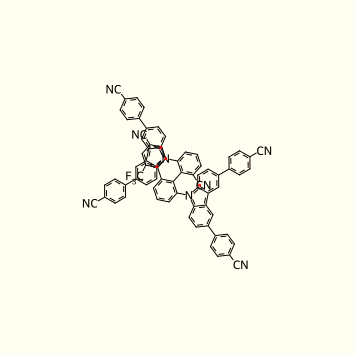 N#Cc1ccc(-c2ccc3c(c2)c2cc(-c4ccc(C#N)cc4)ccc2n3-c2cccc(C#N)c2-c2c(-c3ccc(C#N)cc3C(F)(F)F)cccc2-n2c3ccc(-c4ccc(C#N)cc4)cc3c3cc(-c4ccc(C#N)cc4)ccc32)cc1